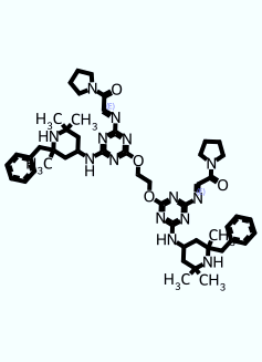 CC1(C)CC(Nc2nc(/N=C/C(=O)N3CCCC3)nc(OCCOc3nc(/N=C/C(=O)N4CCCC4)nc(NC4CC(C)(C)NC(C)(Cc5ccccc5)C4)n3)n2)CC(C)(Cc2ccccc2)N1